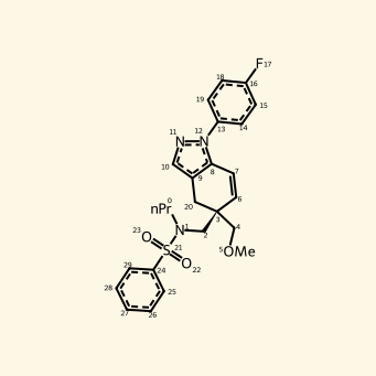 CCCN(C[C@]1(COC)C=Cc2c(cnn2-c2ccc(F)cc2)C1)S(=O)(=O)c1ccccc1